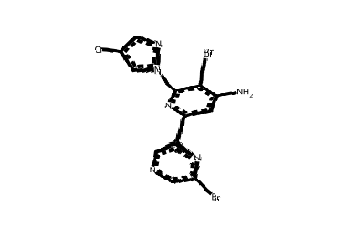 Nc1cc(-c2cncc(Br)n2)nc(-n2cc(Cl)cn2)c1Br